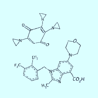 Cc1c(Cn2c(C)nc3c(C(=O)O)cc(N4CCOCC4)cc32)cccc1C(F)(F)F.O=C1C=C(N2CC2)C(=O)C(N2CC2)=C1N1CC1